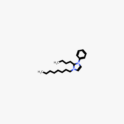 CCCCCCCCN1C=CN(c2ccccc2)C1CCCC